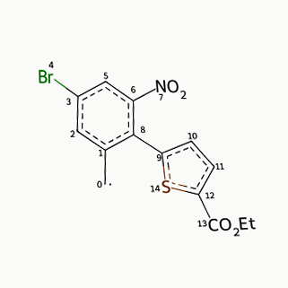 [CH2]c1cc(Br)cc([N+](=O)[O-])c1-c1ccc(C(=O)OCC)s1